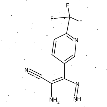 N#C/C(N)=C(/N=N)c1ccc(C(F)(F)F)nc1